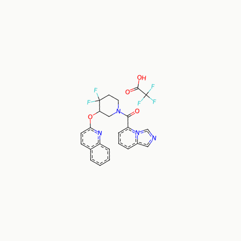 O=C(O)C(F)(F)F.O=C(c1cccc2cncn12)N1CCC(F)(F)C(Oc2ccc3ccccc3n2)C1